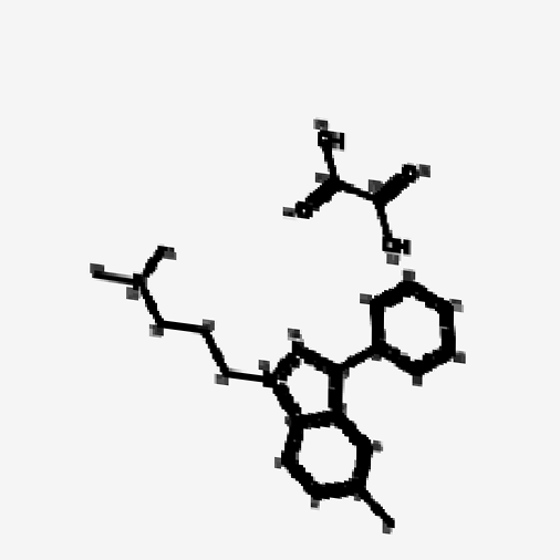 Cc1ccc2c(c1)c(-c1ccccc1)nn2CCCN(C)C.O=C(O)C(=O)O